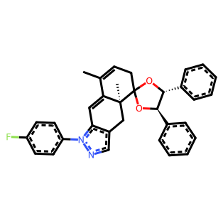 CC1=CCC2(O[C@H](c3ccccc3)[C@@H](c3ccccc3)O2)[C@@]2(C)Cc3cnn(-c4ccc(F)cc4)c3C=C12